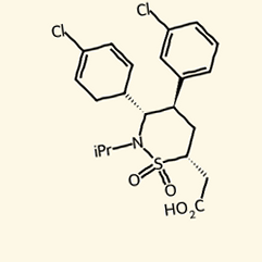 CC(C)N1[C@H](C2C=CC(Cl)=CC2)[C@@H](c2cccc(Cl)c2)C[C@H](CC(=O)O)S1(=O)=O